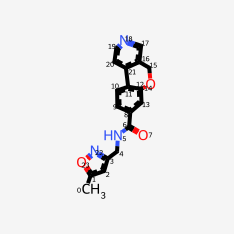 Cc1cc(CNC(=O)c2ccc3c(c2)OCc2cnccc2-3)no1